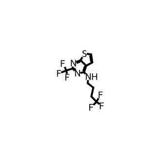 FC(F)(F)CCCNc1nc(C(F)(F)F)nc2sccc12